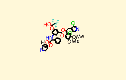 COc1ccc([C@H](Cc2c(Cl)cncc2Cl)OC(=O)c2cccc(NC(C(=O)O[C@H]3CN4CCC3CC4)c3ccccc3)c2)cc1OC.O=C(O)C(F)(F)F